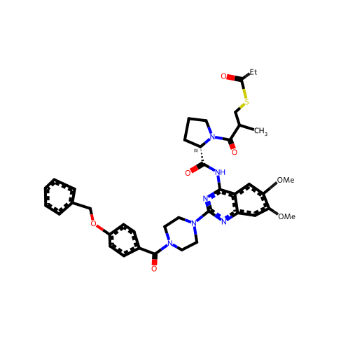 CCC(=O)SCC(C)C(=O)N1CCC[C@H]1C(=O)Nc1nc(N2CCN(C(=O)c3ccc(OCc4ccccc4)cc3)CC2)nc2cc(OC)c(OC)cc12